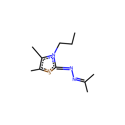 CCCn1c(C)c(C)sc1=NN=C(C)C